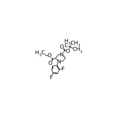 CCOC(=O)C1CN(C(=O)OC(C)(C)C)CCN1c1ccc(F)cc1F